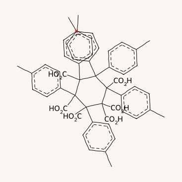 Cc1ccc(C2(C(=O)O)C(C(=O)O)(C(=O)O)C(C(=O)O)(c3ccc(C)cc3)C(c3ccc(C)cc3)(c3ccc(C)cc3)C(C(=O)O)(c3ccc(C)cc3)C2(C(=O)O)c2ccc(C)cc2)cc1